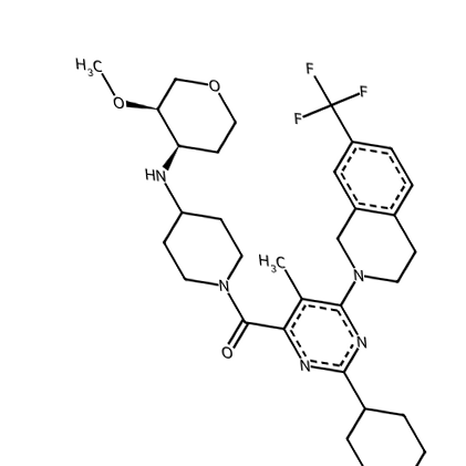 CO[C@H]1COCC[C@H]1NC1CCN(C(=O)c2nc(C3CCOCC3)nc(N3CCc4ccc(C(F)(F)F)cc4C3)c2C)CC1